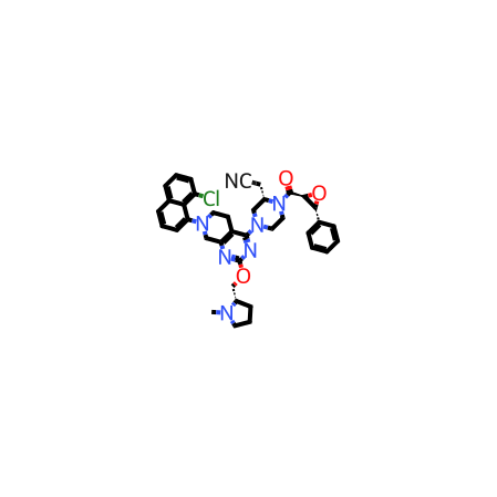 CN1CCC[C@H]1COc1nc2c(c(N3CCN(C(=O)[C@H]4O[C@@H]4c4ccccc4)[C@@H](CC#N)C3)n1)CCN(c1cccc3cccc(Cl)c13)C2